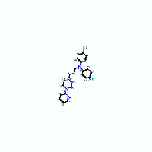 Fc1ccc(N(CCCN2CCN(c3ccccn3)CC2)c2ccc(F)cc2)cc1